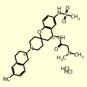 CN(C)CC(=O)N[C@H]1CC2(CCN([C@@H]3CCc4cc(C#N)ccc4C3)CC2)Oc2ccc(NS(C)(=O)=O)cc21.Cl.Cl